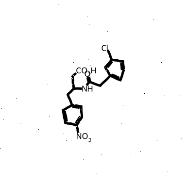 O=C(O)CC(Cc1ccc([N+](=O)[O-])cc1)NC(=O)Cc1cccc(Cl)c1